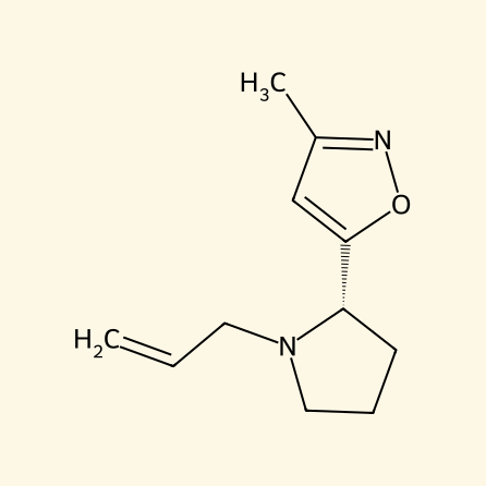 C=CCN1CCC[C@H]1c1cc(C)no1